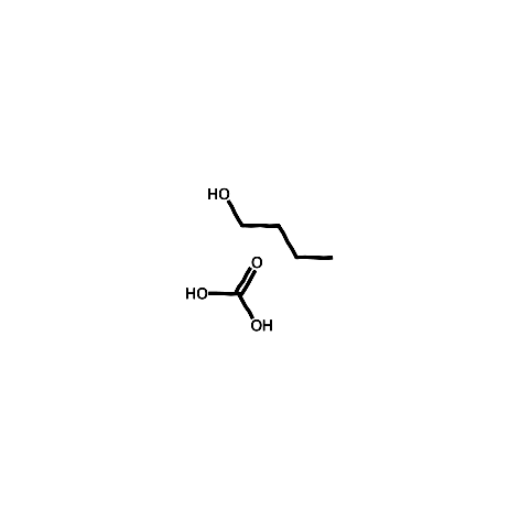 CCCCO.O=C(O)O